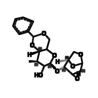 C[C@@H]1C(O)[C@H](O[C@H]2C3O[C@H]3C3OC[C@H]2O3)OC2COC(c3ccccc3)O[C@H]21